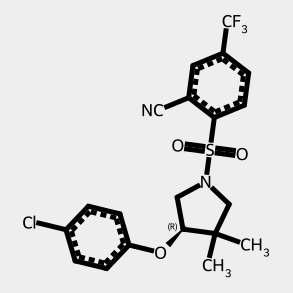 CC1(C)CN(S(=O)(=O)c2ccc(C(F)(F)F)cc2C#N)C[C@@H]1Oc1ccc(Cl)cc1